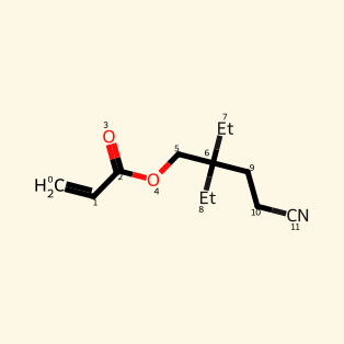 C=CC(=O)OCC(CC)(CC)CCC#N